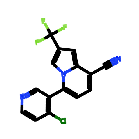 N#Cc1ccc(-c2cnccc2Cl)n2cc(C(F)(F)F)cc12